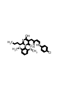 CCCCc1nc(O)c(CC(=N)/C=C\Nc2ccc(Cl)cc2)c(=O)n1-c1c(OC)cccc1OC